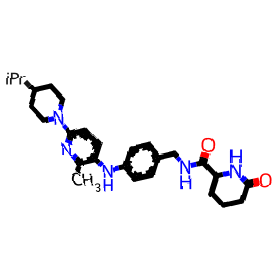 Cc1nc(N2CCC(C(C)C)CC2)ccc1Nc1ccc(CNC(=O)C2CCCC(=O)N2)cc1